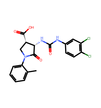 Cc1ccccc1N1C[C@H](C(=O)O)[C@H](NC(=O)Nc2ccc(Cl)c(Cl)c2)C1=O